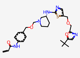 C=CC(=O)Nc1ccc(COCN2CCC[C@@H](Nc3ncc(COCc4ncc(C(C)(C)C)o4)s3)C2)cc1